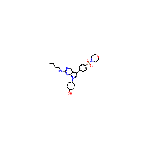 CCCCNc1ncc2c(-c3ccc(S(=O)(=O)N4CCOCC4)cc3)cn(C3CCC(O)CC3)c2n1